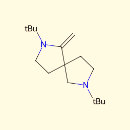 C=C1N(C(C)(C)C)CCC12CCN(C(C)(C)C)C2